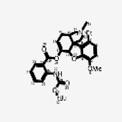 CCc1ccc(OC)c2c1C13CCN(C)CC1CC=C(OC(=O)c1ccccc1NC(=O)OC(C)(C)C)C3O2